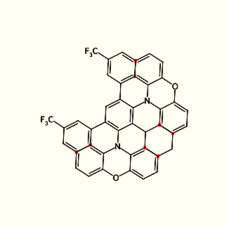 FC(F)(F)c1cccc(-c2cc(-c3cccc(C(F)(F)F)c3)c(N3c4ccccc4Oc4ccccc43)c(C3CCCCC3)c2N2c3ccccc3Oc3ccccc32)c1